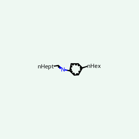 CCCCCCCC=Nc1ccc(CCCCCC)cc1